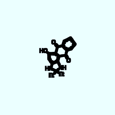 CCC1(CC)Nc2cc(O)c3c(c2N1)C(=O)c1ccccc1C3=O